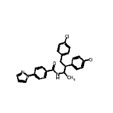 CC(NC(=O)c1ccc(-n2cccn2)cc1)C(Cc1ccc(Cl)cc1)c1ccc(Cl)cc1